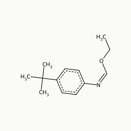 CCO/C=N\c1ccc(C(C)(C)C)cc1